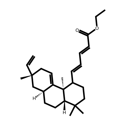 C=C[C@]1(C)CC=C2[C@@H](CC[C@H]3C(C)(C)CCC(/C=C/C=C/C(=O)OCC)[C@]23C)C1